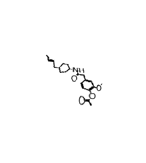 CC=CC[C@H]1CC[C@H](NC(=O)Cc2ccc(OC(C)=O)c(OC)c2)CC1